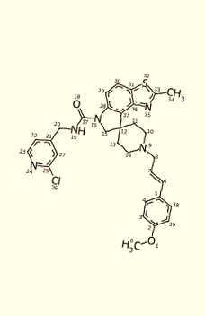 COc1ccc(C=CCN2CCC3(CC2)CN(C(=O)NCc2ccnc(Cl)c2)c2ccc4sc(C)nc4c23)cc1